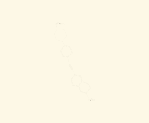 CCCCCC1CCC(c2ccc(C#Cc3ccc4cc(CCCC)ccc4c3)cc2)CC1